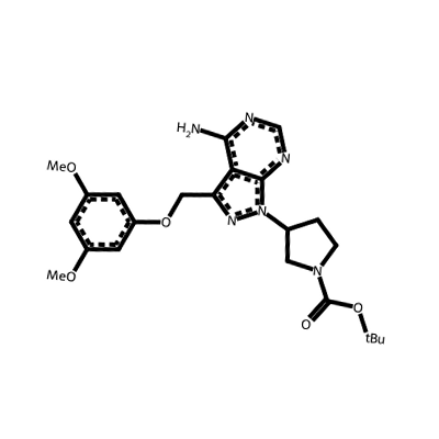 COc1cc(OC)cc(OCc2nn(C3CCN(C(=O)OC(C)(C)C)C3)c3ncnc(N)c23)c1